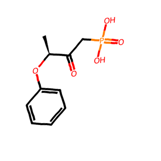 C[C@H](Oc1ccccc1)C(=O)CP(=O)(O)O